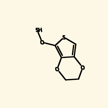 SOc1scc2c1OCCO2